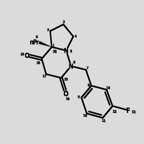 CCC[C@]12CCCN1N(Cc1cccc(F)c1)C(=O)CC2=O